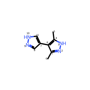 Cc1n[nH]c(C)c1-c1cn[nH]c1